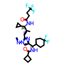 C=Nn1cc([C@@H](NC(=O)C2CCC2)C2CCC(F)(F)CC2)nc1/C=C(\C)[C@H](NC(=O)CCC(F)(F)F)C1CC1